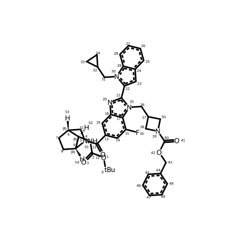 CC(C)(C)OC(=O)N[C@@H]1[C@@H]2CC[C@H]1N(C(=O)c1cc(F)c3c(c1)nc(-c1cc4ccccc4n1CC1CC1)n3CC1CN(C(=O)OCc3ccccc3)C1)C2